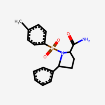 Cc1ccc(S(=O)(=O)N2C(C(N)=O)CCC2c2ccccc2)cc1